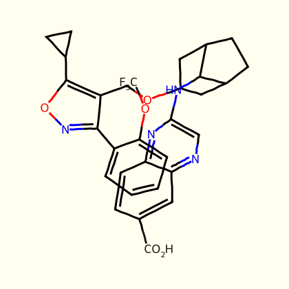 O=C(O)c1ccc2nc(NC3C4CCC3CC(OCc3c(-c5ccccc5OC(F)(F)F)noc3C3CC3)C4)cnc2c1